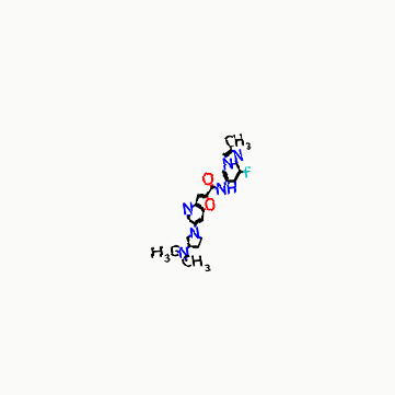 Cc1cn2cc(NC(=O)c3cc4ncc(N5CCC(N(C)C)C5)cc4o3)cc(F)c2n1